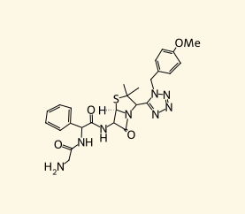 COc1ccc(Cn2nnnc2C2N3C(=O)C(NC(=O)C(NC(=O)CN)c4ccccc4)[C@H]3SC2(C)C)cc1